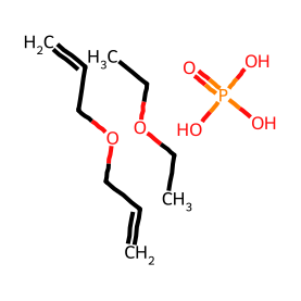 C=CCOCC=C.CCOCC.O=P(O)(O)O